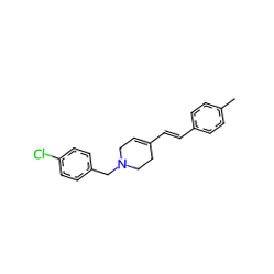 Cc1ccc(/C=C/C2=CCN(Cc3ccc(Cl)cc3)CC2)cc1